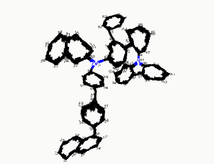 c1ccc(-c2cc(N(c3ccc(-c4ccc(-c5cccc6ccccc56)cc4)cc3)c3ccc4ccccc4c3)ccc2-c2ccccc2-n2c3ccccc3c3ccccc32)cc1